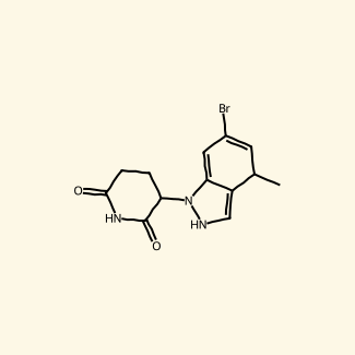 CC1C=C(Br)C=C2C1=CNN2C1CCC(=O)NC1=O